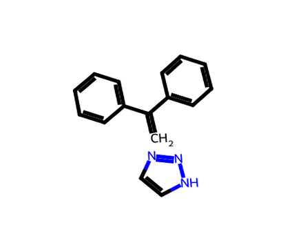 C=C(c1ccccc1)c1ccccc1.c1c[nH]nn1